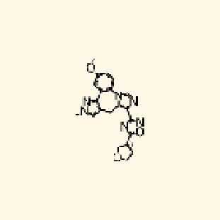 COc1ccc2c(c1)-c1nn(C)cc1Cc1c(-c3noc([C@H]4CCOC4)n3)ncn1-2